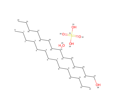 CCCCCCCCCCCCCC.CCCCCCCCCCCCCCO.O.O=S(=O)(O)O